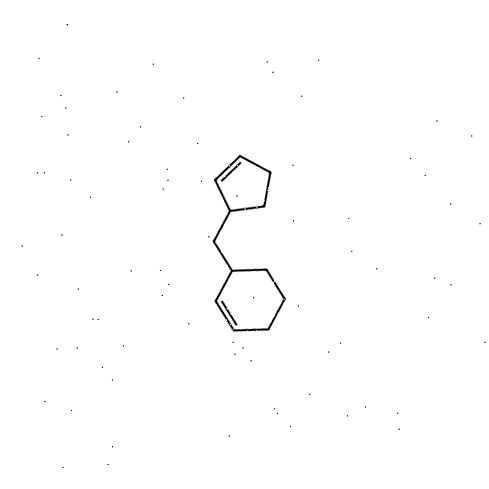 C1=CC(CC2C=CCC2)CCC1